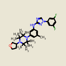 BC1(B)N(c2cc(C)cc(Nc3ncn(-c4cc(F)cc(F)c4)n3)c2)C(B)(B)C(B)(B)N(C2CCOC2)C1(B)B